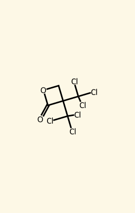 O=C1OCC1(C(Cl)(Cl)Cl)C(Cl)(Cl)Cl